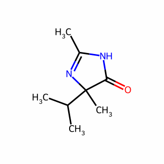 CC1=NC(C)(C(C)C)C(=O)N1